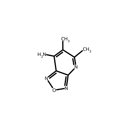 Cc1nc2nonc2c(N)c1C